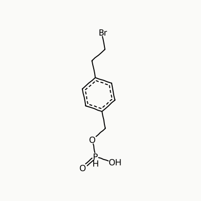 O=[PH](O)OCc1ccc(CCBr)cc1